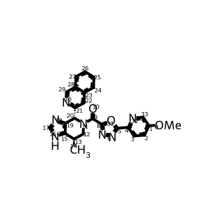 COc1ccc(-c2nnc(C(=O)N3C[C@@H](C)c4[nH]cnc4[C@@H]3c3cc4ccccc4cn3)o2)nc1